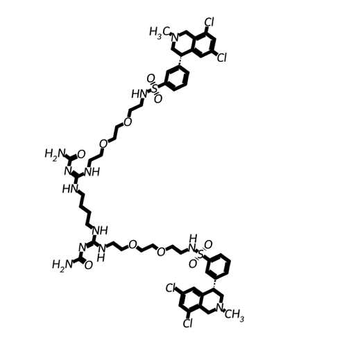 CN1Cc2c(Cl)cc(Cl)cc2[C@H](c2cccc(S(=O)(=O)NCCOCCOCCN/C(=N\C(N)=O)NCCCCN/C(=N/C(N)=O)NCCOCCOCCNS(=O)(=O)c3cccc([C@@H]4CN(C)Cc5c(Cl)cc(Cl)cc54)c3)c2)C1